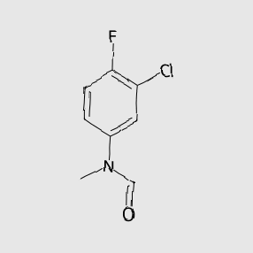 CN(C=O)c1ccc(F)c(Cl)c1